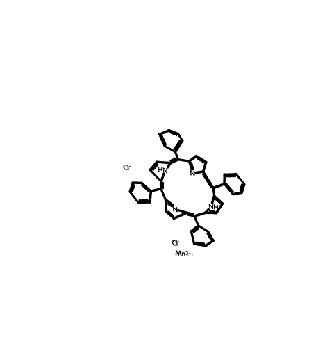 C1=Cc2nc1c(-c1ccccc1)c1ccc([nH]1)c(-c1ccccc1)c1nc(c(-c3ccccc3)c3ccc([nH]3)c2-c2ccccc2)C=C1.[Cl-].[Cl-].[Mn+2]